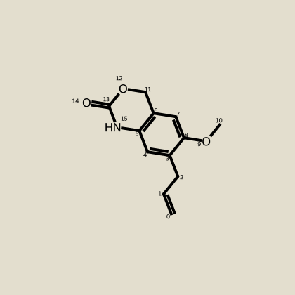 C=CCc1cc2c(cc1OC)COC(=O)N2